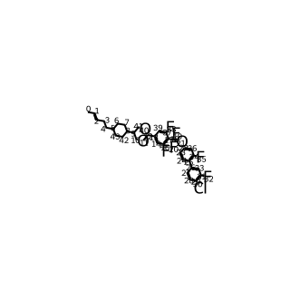 C/C=C/CCC1CCC(C2COC(c3cc(F)c(C(F)(F)Oc4ccc(-c5ccc(Cl)c(F)c5)c(F)c4)c(F)c3)OC2)CC1